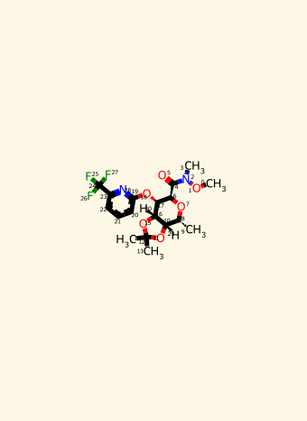 CON(C)C(=O)[C@H]1O[C@H](C)[C@@H]2OC(C)(C)O[C@@H]2[C@H]1Oc1cccc(C(F)(F)F)n1